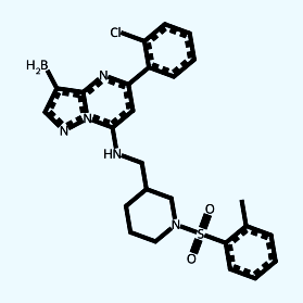 Bc1cnn2c(NCC3CCCN(S(=O)(=O)c4ccccc4C)C3)cc(-c3ccccc3Cl)nc12